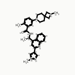 Cc1ccc(N2CCC3(CC2)CN(C)C3)cc1C(=O)N[C@H](C)c1cc(-c2cnn(C)c2)nc2ccccc12